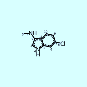 CNc1c[nH]c2cc(Cl)ccc12